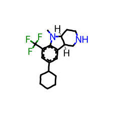 CN1c2c(cc(C3CCCCC3)cc2C(F)(F)F)[C@@H]2CNCC[C@@H]21